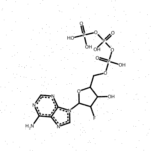 Nc1ncnc2c1ncn2C1OC(COP(=O)(O)OP(=O)(O)OP(=O)(O)O)C(O)C1F